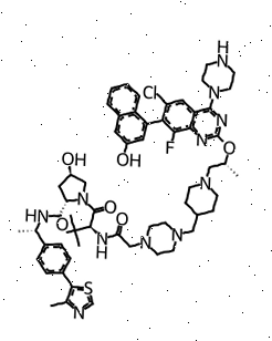 Cc1ncsc1-c1ccc([C@H](C)NC(=O)[C@@H]2C[C@@H](O)CN2C(=O)[C@@H](NC(=O)CN2CCN(CC3CCN(C[C@@H](C)Oc4nc(N5CCNCC5)c5cc(Cl)c(-c6cc(O)cc7ccccc67)c(F)c5n4)CC3)CC2)C(C)(C)C)cc1